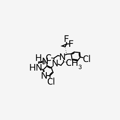 C[C@@H]1CN(c2cc(Cl)nc3[nH]cnc23)[C@@H](C)CN1C(c1ccc(Cl)cc1)[C@@H]1CC1(F)F